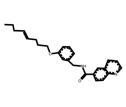 CCCC=CCCCOc1cccc(CNC(=O)c2ccc3ncccc3c2)c1